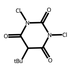 CC(C)(C)C1C(=O)N(Cl)C(=O)N(Cl)C1=O